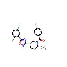 C[C@@H]1CC[C@H](c2noc(-c3cc(F)ccc3F)n2)CN1C(=O)c1ccc(F)cc1